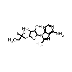 CCC(C)(I)C[C@H]1OC(n2c(C)nc3c(N)ncnc32)[C@H](O)[C@@H]1O